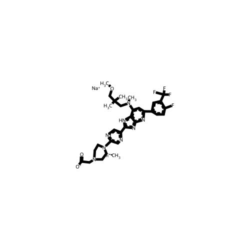 COCC(C)(C)CN(C)c1cc(-c2ccc(F)c(C(F)(F)F)c2)nc2nc(-c3cnc(N4CCN(CC(=O)[O-])C[C@H]4C)cn3)[nH]c12.[Na+]